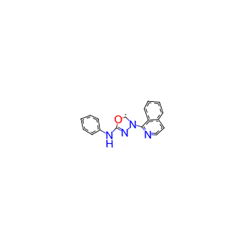 [CH]1OC(Nc2ccccc2)=NN1c1nccc2ccccc12